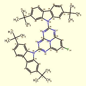 CC(C)(C)c1ccc2c3ccc(C(C)(C)C)cc3n(C3=NC4=CC(F)=CC5=NC(n6c7cc(C(C)(C)C)ccc7c7ccc(C(C)(C)C)cc76)=NC(=N3)N45)c2c1